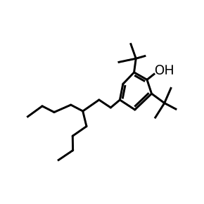 CCCCC(CCCC)CCc1cc(C(C)(C)C)c(O)c(C(C)(C)C)c1